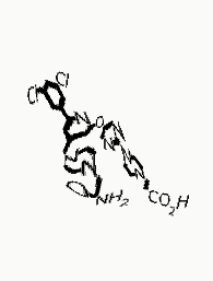 NC(=O)CN1CCN(Cc2cc(Oc3cnc(N4CCN(CCC(=O)O)CC4)nc3)nc(-c3cc(Cl)cc(Cl)c3)c2)CC1